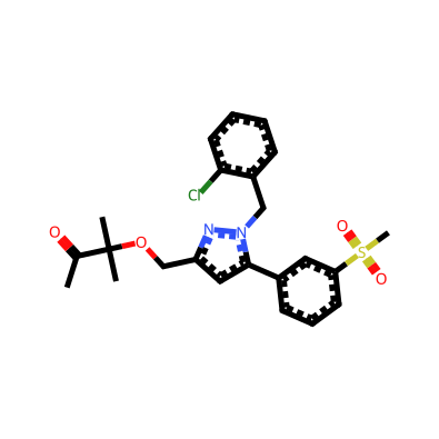 CC(=O)C(C)(C)OCc1cc(-c2cccc(S(C)(=O)=O)c2)n(Cc2ccccc2Cl)n1